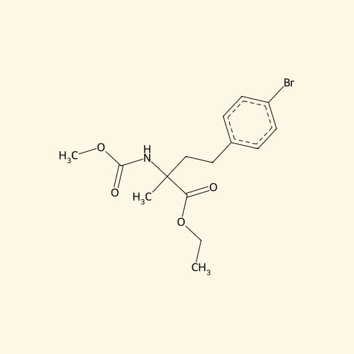 CCOC(=O)C(C)(CCc1ccc(Br)cc1)NC(=O)OC